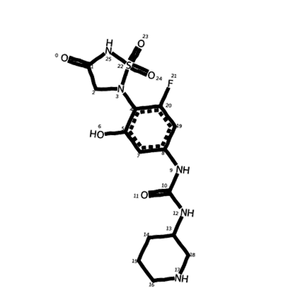 O=C1CN(c2c(O)cc(NC(=O)NC3CCCNC3)cc2F)S(=O)(=O)N1